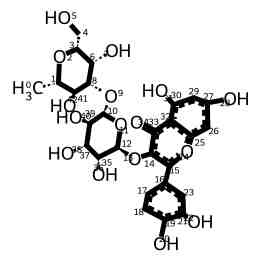 C[C@@H]1O[C@H](CO)[C@H](O)[C@H](O[C@@H]2O[C@@H](Oc3c(-c4ccc(O)c(O)c4)oc4cc(O)cc(O)c4c3=O)[C@H](O)[C@H](O)[C@H]2O)[C@H]1O